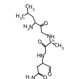 CC(C)CC(N)C(=O)CN[C@@H](C)C(=O)CNC(C=O)CC(N)=O